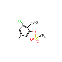 Cc1cc(Cl)c(C=O)c(OS(=O)(=O)C(F)(F)F)c1